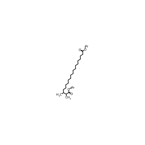 CC(C)OC(=O)CCCCCCCCCCCCCCCCC(C)C(C)C(=O)OC(C)C